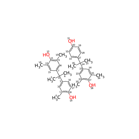 Cc1cc(C(C)(C)c2cc(C)c(O)c(C)c2)ccc1O.Cc1cc(C(C)(C)c2ccc(O)cc2)cc(C)c1O